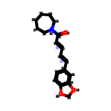 O=C(/C=C/C=C/c1ccc2c(c1)OCO2)N1CCCCCC1